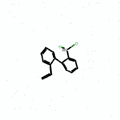 C=Cc1ccccc1-c1ccccc1[SiH](Cl)Cl